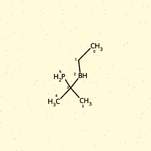 CCBC(C)(C)P